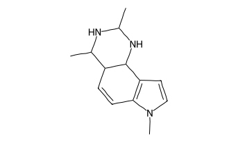 CC1NC(C)C2C=Cc3c(ccn3C)C2N1